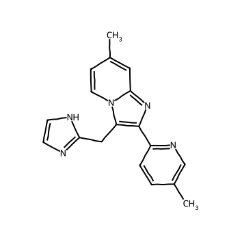 Cc1ccc(-c2nc3cc(C)ccn3c2Cc2ncc[nH]2)nc1